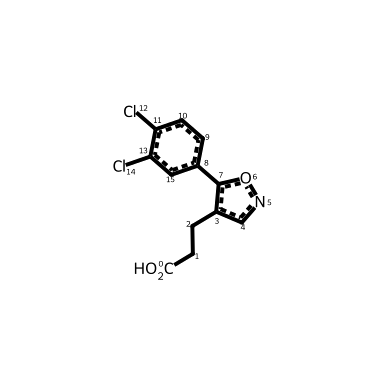 O=C(O)CCc1cnoc1-c1ccc(Cl)c(Cl)c1